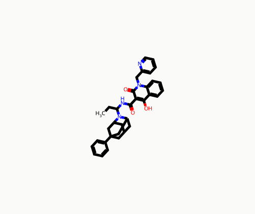 CCC(NC(=O)c1c(O)c2ccccc2n(Cc2ccccn2)c1=O)N1C2CC3CC1CC(c1ccccc1)(C3)C2